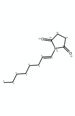 CCCCCCC=CN1C(=O)CCC1=O